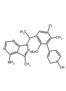 COc1c(C(C)n2nc(C)c3c(N)ncnc32)cc(Cl)c(C)c1C1=CCN(C#N)C=C1